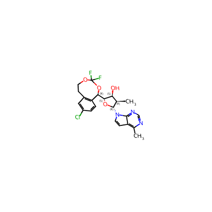 Cc1ncnc2c1ccn2[C@@H]1O[C@H]([C@@H]2OC(F)(F)OCCc3cc(Cl)ccc32)[C@@H](O)[C@H]1C